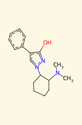 CN(C)C1CCCCC1n1cc(-c2ccccc2)c(O)n1